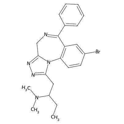 CCC(Cc1nnc2n1-c1ccc(Br)cc1C(c1ccccc1)=NC2)N(C)C